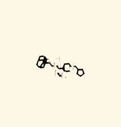 OC(CNc1ncnc2c1CCN(CC1CCCC1)C2)C12CC3CC(CC(C3)C1)C2